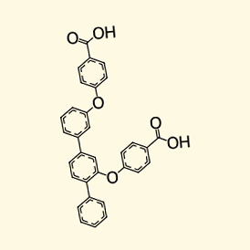 O=C(O)c1ccc(Oc2cccc(-c3ccc(-c4ccccc4)c(Oc4ccc(C(=O)O)cc4)c3)c2)cc1